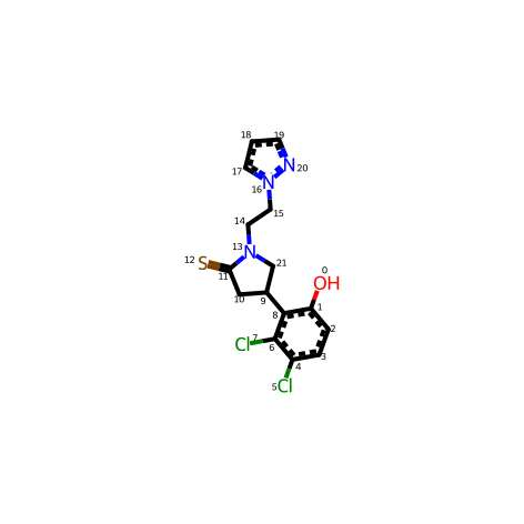 Oc1ccc(Cl)c(Cl)c1C1CC(=S)N(CCn2cccn2)C1